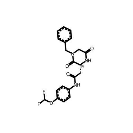 O=C(C[C@H]1NC(=O)CN(Cc2ccccc2)C1=O)Nc1ccc(OC(F)F)cc1